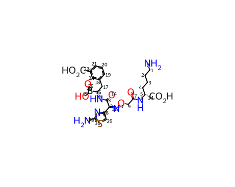 NCCCC[C@@H](NC(=O)CO/N=C(\C(=O)N[C@H]1Cc2cccc(C(=O)O)c2OB1O)c1csc(N)n1)C(=O)O